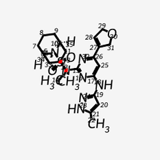 CCS(=O)(=O)N1[C@@H]2CCC[C@H]1CC(N(C)c1nc(Nc3cc(C)[nH]n3)cc(C3=CCOC3)n1)C2